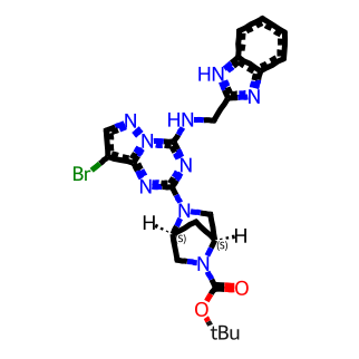 CC(C)(C)OC(=O)N1C[C@@H]2C[C@H]1CN2c1nc(NCc2nc3ccccc3[nH]2)n2ncc(Br)c2n1